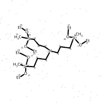 CCO[Si](C)(CCCN(CCC[Si](C)(OCC)OCC)CCC[Si](C)(OCC)OCC)OCC